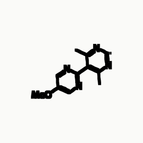 COc1cnc(-c2c(C)n[c]nc2C)nc1